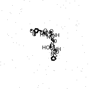 COc1ccc(COC(=O)Nc2nc3c(c(=O)[nH]2)NCN3CC(=O)N(CCNS(=O)(=O)c2nc3ccccc3s2)CC(=O)O)cc1OC